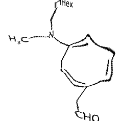 CCCCCCN(C)c1cccc(C=O)c1